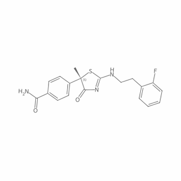 C[C@@]1(c2ccc(C(N)=O)cc2)SC(NCCc2ccccc2F)=NC1=O